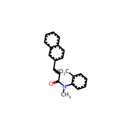 CN(C(=O)/C=C/c1ccc2ccccc2c1)c1ccccc1C(=O)O